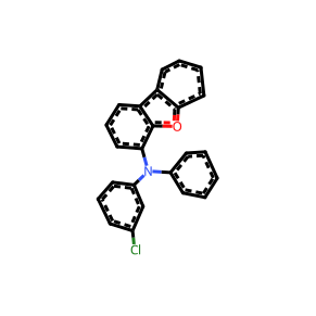 Clc1cccc(N(c2ccccc2)c2cccc3c2oc2ccccc23)c1